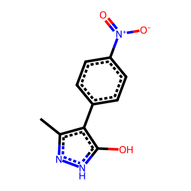 Cc1n[nH]c(O)c1-c1ccc([N+](=O)[O-])cc1